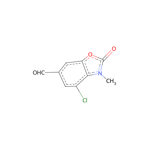 Cn1c(=O)oc2cc(C=O)cc(Cl)c21